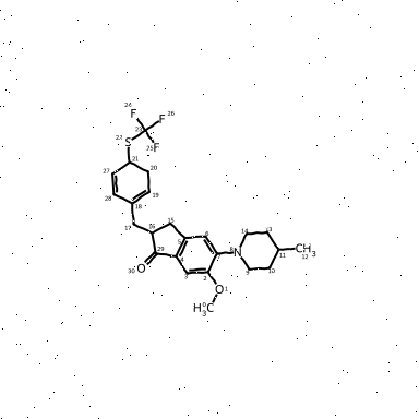 COc1cc2c(cc1N1CCC(C)CC1)CC(CC1=CCC(SC(F)(F)F)C=C1)C2=O